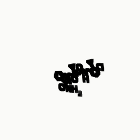 NC(=O)c1nn(CC(=O)N(CC(=O)NCc2cccc(Cl)c2C2CC2)C2CC2)c2ccccc12